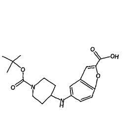 CC(C)(C)OC(=O)N1CCC(Nc2ccc3oc(C(=O)O)cc3c2)CC1